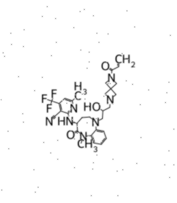 C=CC(=O)N1CC2(CN(CC(O)CN3CC[C@H](Nc4nc(C)cc(C(F)(F)F)c4C#N)C(=O)N(C)c4ccccc43)C2)C1